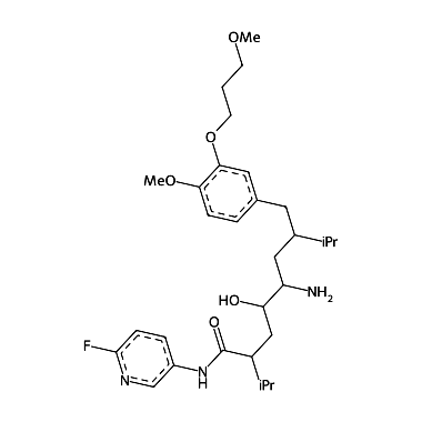 COCCCOc1cc(CC(CC(N)C(O)CC(C(=O)Nc2ccc(F)nc2)C(C)C)C(C)C)ccc1OC